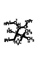 CCCO[SiH](OCCC)[C@](S)(CC(C)C)[Si](C)(C)C